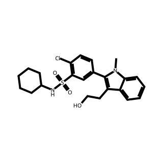 Cn1c(-c2ccc(Cl)c(S(=O)(=O)NC3CCCCC3)c2)c(CCO)c2ccccc21